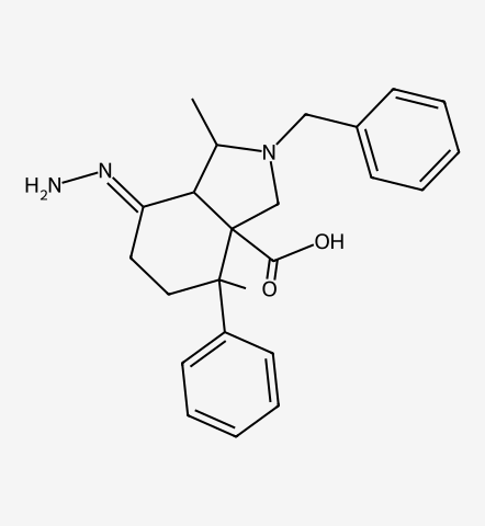 CC1C2C(=NN)CCC(C)(c3ccccc3)C2(C(=O)O)CN1Cc1ccccc1